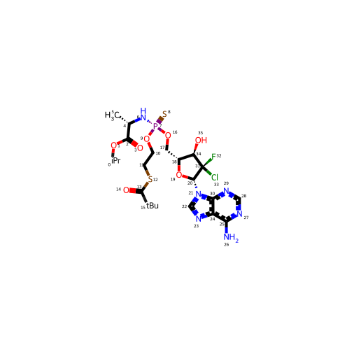 CC(C)OC(=O)[C@H](C)N[P@@](=S)(OCCSC(=O)C(C)(C)C)OC[C@H]1O[C@@H](n2cnc3c(N)ncnc32)[C@@](F)(Cl)[C@@H]1O